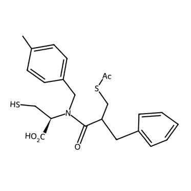 CC(=O)SCC(Cc1ccccc1)C(=O)N(Cc1ccc(C)cc1)[C@H](CS)C(=O)O